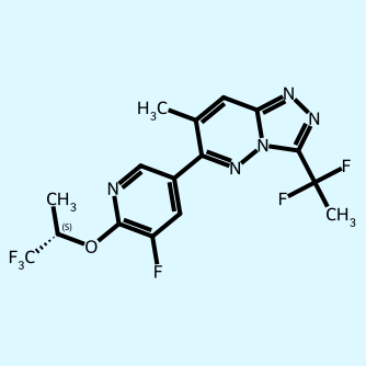 Cc1cc2nnc(C(C)(F)F)n2nc1-c1cnc(O[C@@H](C)C(F)(F)F)c(F)c1